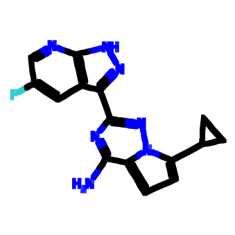 Nc1nc(-c2n[nH]c3ncc(F)cc23)nn2c(C3CC3)ccc12